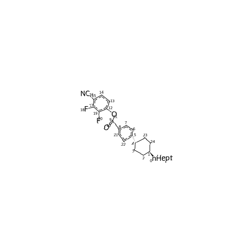 CCCCCCC[C@H]1CC[C@H](c2ccc(C(=O)Oc3ccc(C#N)c(F)c3F)cc2)CC1